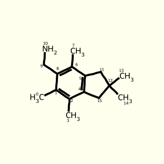 Cc1c(C)c2c(c(C)c1CN)CC(C)(C)C2